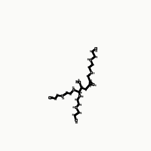 OC(CC1OC1COCCOCCCl)C(OCCOCCCl)OCCOCCCl